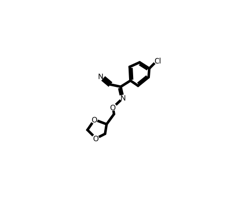 N#CC(=NOCC1COCO1)c1ccc(Cl)cc1